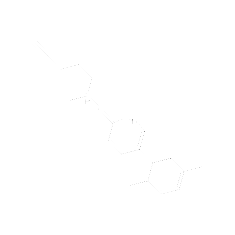 C#CC/C=C\[PH](C)=C=C(/C=C\C(=C/CC)C1CC(C)=CC=C1C)C(C)CC